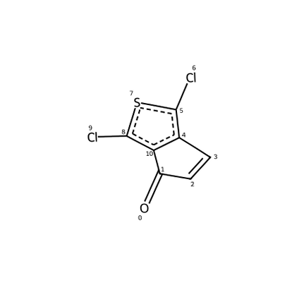 O=C1C=Cc2c(Cl)sc(Cl)c21